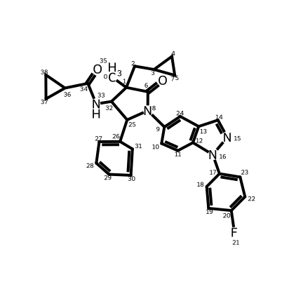 CC1(CC2CC2)C(=O)N(c2ccc3c(cnn3-c3ccc(F)cc3)c2)C(c2ccccc2)C1NC(=O)C1CC1